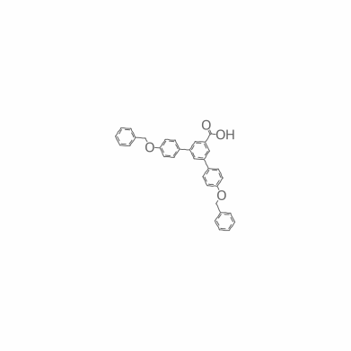 O=C(O)c1cc(-c2ccc(OCc3ccccc3)cc2)cc(-c2ccc(OCc3ccccc3)cc2)c1